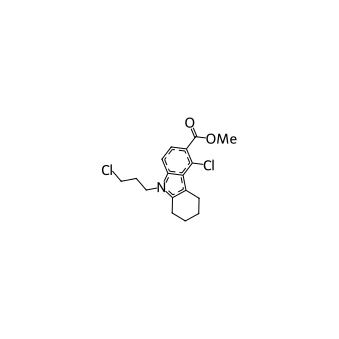 COC(=O)c1ccc2c(c1Cl)c1c(n2CCCCl)CCCC1